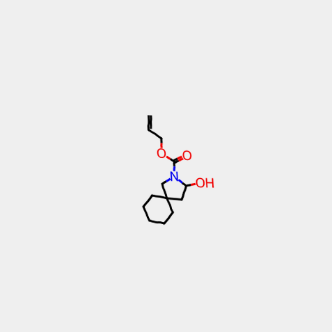 C=CCOC(=O)N1CC2(CCCCC2)CC1O